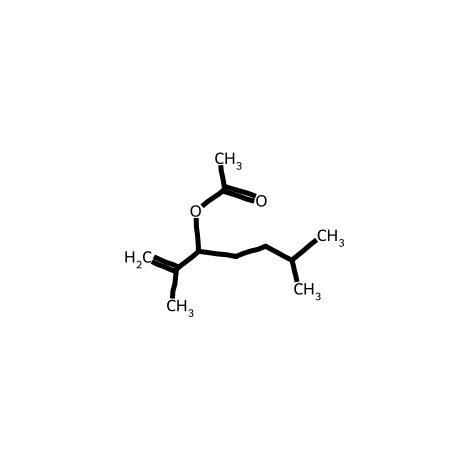 C=C(C)C(CCC(C)C)OC(C)=O